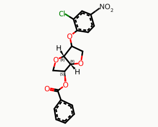 O=C(O[C@H]1CO[C@@H]2C(Oc3ccc([N+](=O)[O-])cc3Cl)CO[C@H]12)c1ccccc1